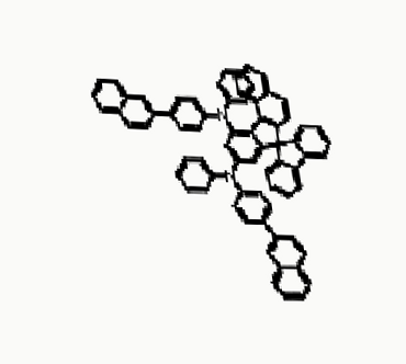 c1ccc(N(c2ccc(-c3ccc4ccccc4c3)cc2)c2cc(N(c3ccccc3)c3ccc(-c4ccc5ccccc5c4)cc3)c3c(c2)C2(c4ccccc4-c4ccccc42)c2ccc4ccccc4c2-3)cc1